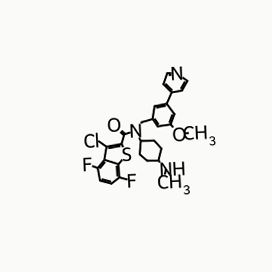 CNC1CCC(N(Cc2cc(OC)cc(-c3ccncc3)c2)C(=O)c2sc3c(F)ccc(F)c3c2Cl)CC1